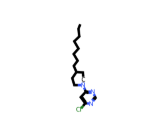 CCCCCCCCC1CCN(c2cc(Cl)ncn2)CC1